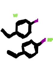 C=Cc1ccc(I)cc1.C=Cc1ccc(I)cc1.F.F